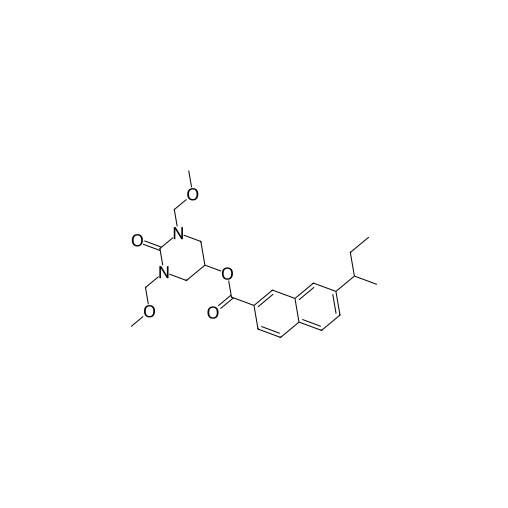 CCC(C)c1ccc2ccc(C(=O)OC3CN(COC)C(=O)N(COC)C3)cc2c1